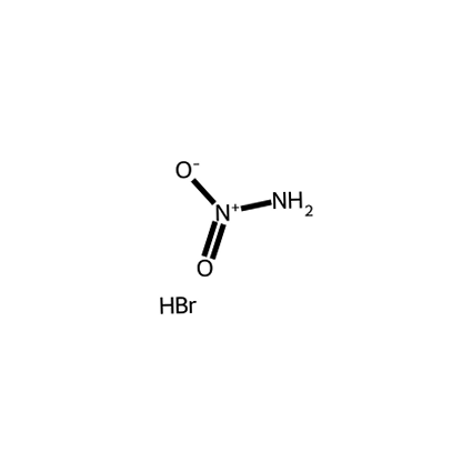 Br.N[N+](=O)[O-]